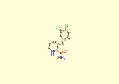 NC(=O)C1NCCOC1[CH]c1ccc(Cl)c(F)c1